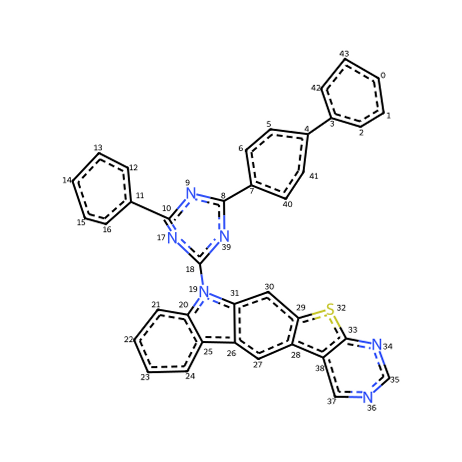 c1ccc(-c2ccc(-c3nc(-c4ccccc4)nc(-n4c5ccccc5c5cc6c(cc54)sc4ncncc46)n3)cc2)cc1